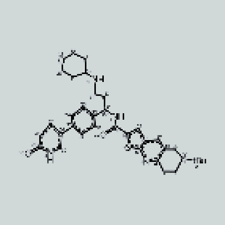 CC(C)(C)[C@H]1CCc2nc3sc(C(=O)N[C@H](CCNC4CCOCC4)c4ccc(-c5ccc(=O)[nH]c5)cc4)cc3cc2C1